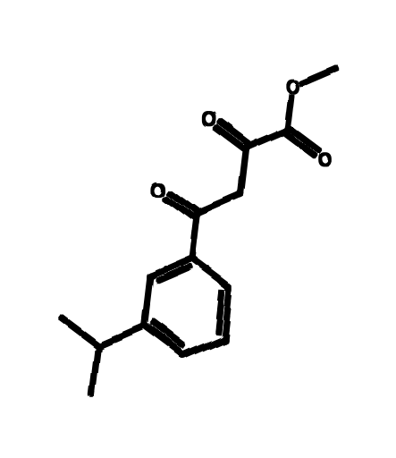 COC(=O)C(=O)CC(=O)c1cccc(C(C)C)c1